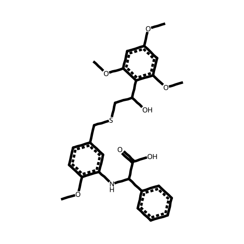 COc1cc(OC)c(C(O)CSCc2ccc(OC)c(NC(C(=O)O)c3ccccc3)c2)c(OC)c1